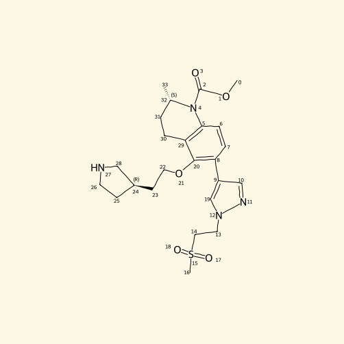 COC(=O)N1c2ccc(-c3cnn(CCS(C)(=O)=O)c3)c(OCC[C@H]3CCNC3)c2CC[C@@H]1C